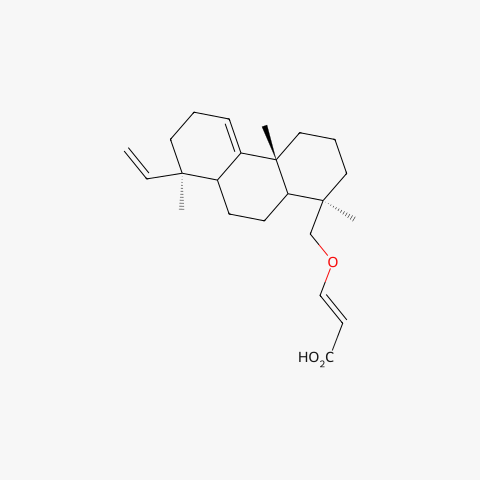 C=C[C@@]1(C)CCC=C2C1CCC1[C@](C)(CO/C=C/C(=O)O)CCC[C@@]21C